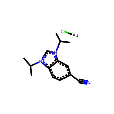 CC(C)n1c[n+](C(C)C)c2ccc(C#N)cc21.[Cl][Au]